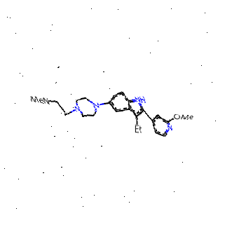 CCc1c(-c2ccnc(OC)c2)[nH]c2ccc(N3CCN(CCNC)CC3)cc12